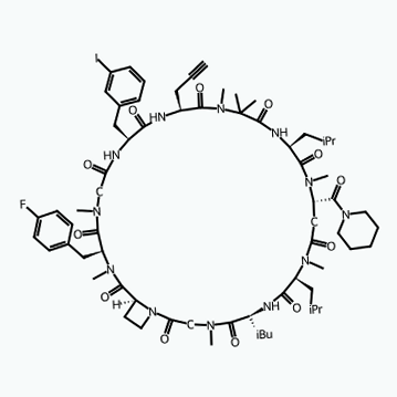 C#CC[C@@H]1NC(=O)[C@H](Cc2cccc(I)c2)NC(=O)CN(C)C(=O)[C@H](Cc2ccc(F)cc2)N(C)C(=O)[C@@H]2CCN2C(=O)CN(C)C(=O)[C@H]([C@@H](C)CC)NC(=O)[C@H](CC(C)C)N(C)C(=O)C[C@@H](C(=O)N2CCCCC2)N(C)C(=O)[C@H](CC(C)C)NC(=O)C(C)(C)N(C)C1=O